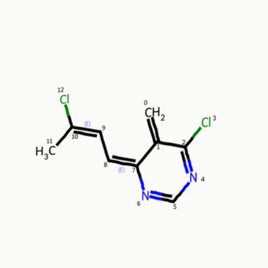 C=c1c(Cl)ncn/c1=C/C=C(\C)Cl